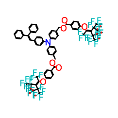 O=C(OCc1ccc(N(c2ccc(C=C(c3ccccc3)c3ccccc3)cc2)c2ccc(COC(=O)c3ccc(OC(=C(C(F)(C(F)(F)F)C(F)(F)F)C(F)(C(F)(F)F)C(F)(F)F)C(F)(F)F)cc3)cc2)cc1)c1ccc(OC(=C(C(F)(C(F)(F)F)C(F)(F)F)C(F)(C(F)(F)F)C(F)(F)F)C(F)(F)F)cc1